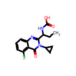 CCC(NC(=O)O)c1nc2cccc(F)c2c(=O)n1C1CC1